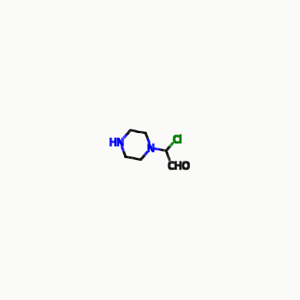 O=CC(Cl)N1CCNCC1